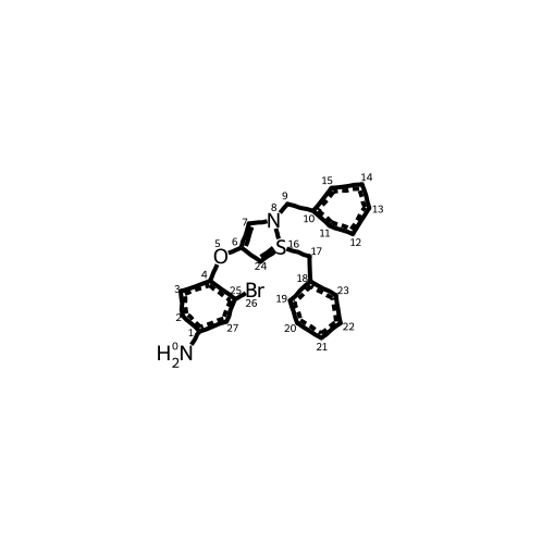 Nc1ccc(OC2=CN(Cc3ccccc3)S(Cc3ccccc3)=C2)c(Br)c1